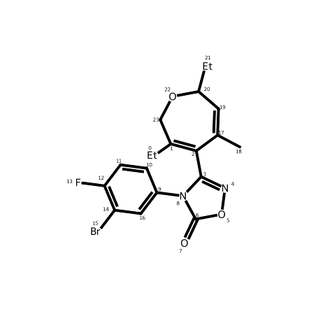 CCC1=C(c2noc(=O)n2-c2ccc(F)c(Br)c2)C(C)=CC(CC)OC1